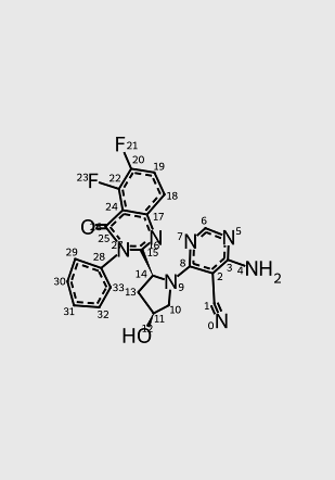 N#Cc1c(N)ncnc1N1C[C@@H](O)C[C@H]1c1nc2ccc(F)c(F)c2c(=O)n1-c1ccccc1